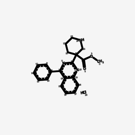 COC(=O)C1(c2nc(-c3ccccc3)c3ccccc3n2)CCCNC1.Cl